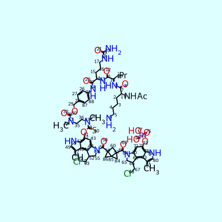 CC(=O)NC(CCCCN)C(=O)NC(C(=O)NC(CCCNC(N)=O)C(=O)Nc1ccc(COC(=O)N(C)CCN(C)C(=S)Oc2cc3c(c4c(C)c[nH]c24)C(CCl)CN3C(=O)C23CC4(C(=O)N5CC(CCl)c6c5cc(OP(=O)(O)O)c5[nH]cc(C)c65)CC24C3)cc1)C(C)C